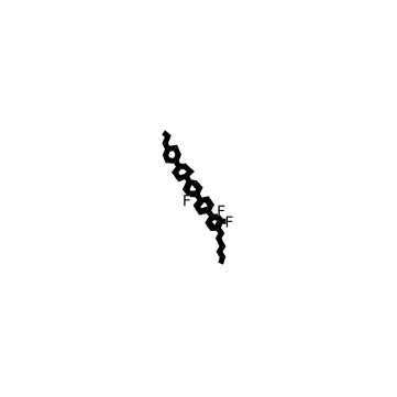 CCCCCCc1ccc(-c2ccc(-c3ccc(C4CCC(C5CCC(CCC)CC5)CC4)cc3F)cc2)c(F)c1F